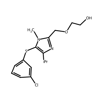 CC(C)c1nc(COCCO)n(C)c1Sc1cccc(Cl)c1